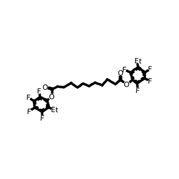 CCc1c(F)c(F)c(F)c(OC(=O)CCCCCCCCCCC(=O)Oc2c(F)c(F)c(F)c(F)c2CC)c1F